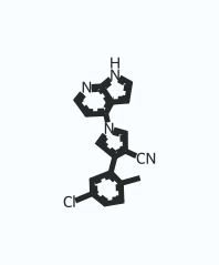 Cc1ccc(Cl)cc1-c1cn(-c2ccnc3[nH]ccc23)cc1C#N